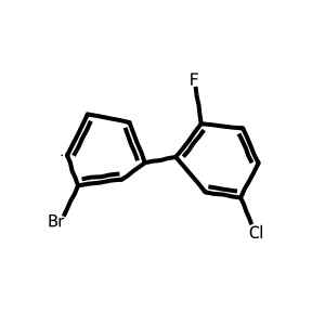 Fc1ccc(Cl)cc1-c1cc[c]c(Br)c1